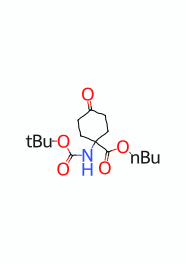 CCCCOC(=O)C1(NC(=O)OC(C)(C)C)CCC(=O)CC1